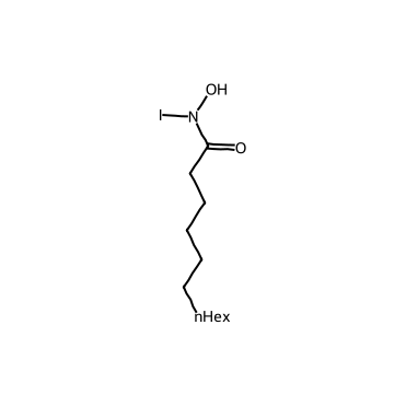 CCCCCCCCCCCC(=O)N(O)I